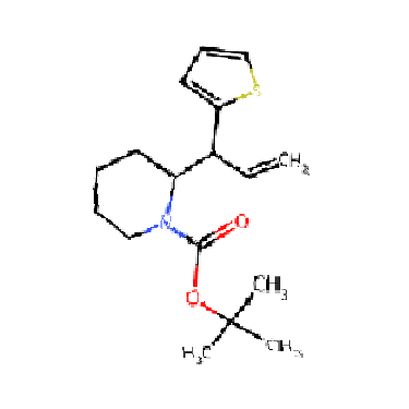 C=CC(c1cccs1)C1CCCCN1C(=O)OC(C)(C)C